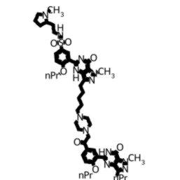 CCCOc1ccc(C(=O)CN2CCN(CCCCCc3nn(C)c4c(=O)nc(-c5cc(S(=O)(=O)NCCC6CCCN6C)ccc5OCCC)[nH]c34)CC2)cc1-c1nc2c(CCC)nn(C)c2c(=O)[nH]1